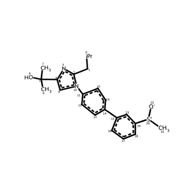 CC(C)Cc1nc(C(C)(C)O)cn1-c1ccc(-c2cccc([S+](C)[O-])c2)cc1